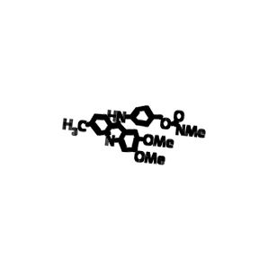 CNC(=O)OCc1ccc(Nc2c3ccc(C)cc3nc3cc(OC)c(OC)cc23)cc1